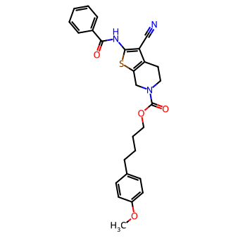 COc1ccc(CCCCOC(=O)N2CCc3c(sc(NC(=O)c4ccccc4)c3C#N)C2)cc1